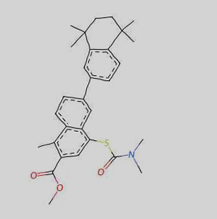 COC(=O)c1cc(SC(=O)N(C)C)c2cc(-c3ccc4c(c3)C(C)(C)CCC4(C)C)ccc2c1C